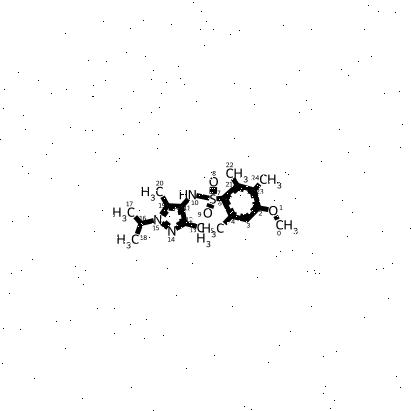 COc1cc(C)c(S(=O)(=O)Nc2c(C)nn(C(C)C)c2C)c(C)c1C